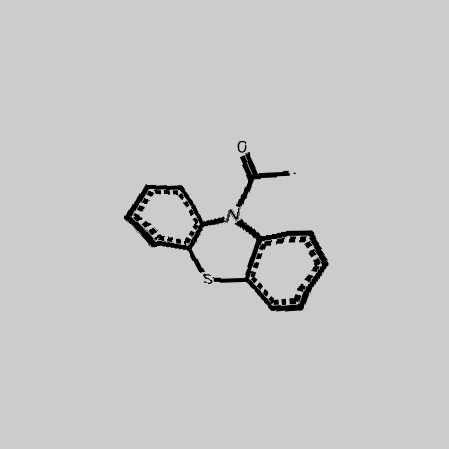 [CH2]C(=O)N1c2ccccc2Sc2ccccc21